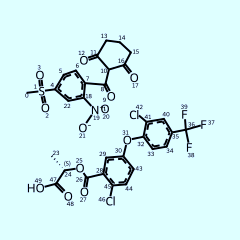 CS(=O)(=O)c1ccc(C(=O)C2C(=O)CCCC2=O)c([N+](=O)[O-])c1.C[C@H](OC(=O)c1cc(Oc2ccc(C(F)(F)F)cc2Cl)ccc1Cl)C(=O)O